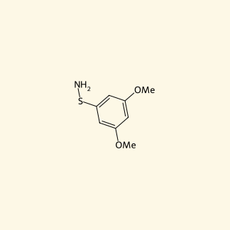 COc1cc(OC)cc(SN)c1